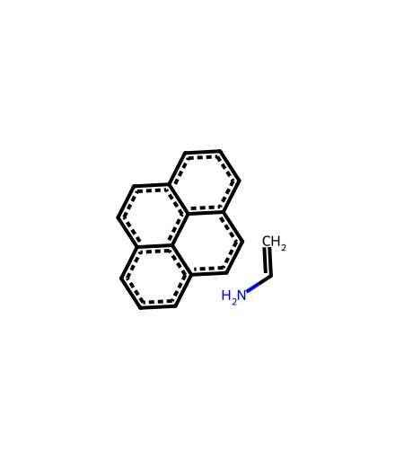 C=CN.c1cc2ccc3cccc4ccc(c1)c2c34